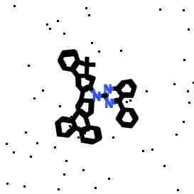 CC1(C)c2c#cccc2-c2cc3c4cc5c(cc4n(-c4nc(-c6ccccc6)c6ccccc6n4)c3cc21)c1c#cccc1c1ccccc15